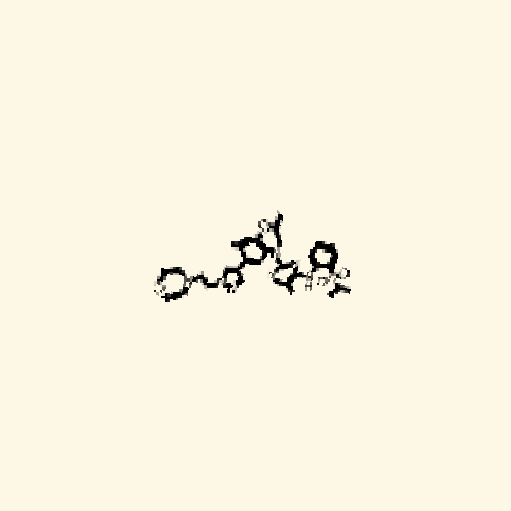 Cc1cc2c(cc1-c1cnn(CCN3CCOCC3)c1)N(c1ncc(C)c(Nc3ccccc3S(=O)(=O)C(C)C)n1)CC(C)O2